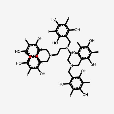 Oc1c(I)c(O)c(CN(CCN(Cc2c(O)c(I)c(O)c(I)c2O)Cc2c(S)c(I)c(O)c(I)c2S)CCN(Cc2c(O)c(I)c(O)c(I)c2O)Cc2c(S)c(I)c(O)c(I)c2S)c(O)c1I